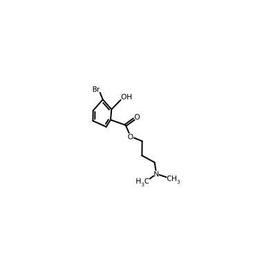 CN(C)CCCOC(=O)c1cccc(Br)c1O